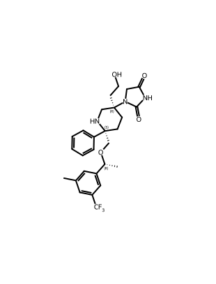 Cc1cc([C@@H](C)OC[C@@]2(c3ccccc3)CC[C@](CCO)(N3CC(=O)NC3=O)CN2)cc(C(F)(F)F)c1